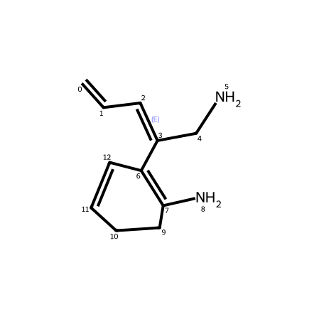 C=C/C=C(/CN)C1=C(N)CCC=C1